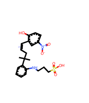 CC(C)(C/C=C\c1cc([N+](=O)[O-])ccc1O)c1ccccc1NCCCS(=O)(=O)O